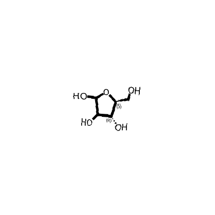 OC[C@@H]1OC(O)C(O)[C@H]1O